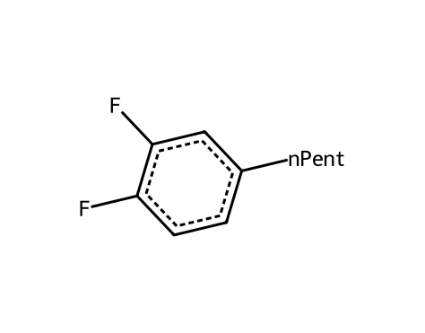 CC[CH]CCc1ccc(F)c(F)c1